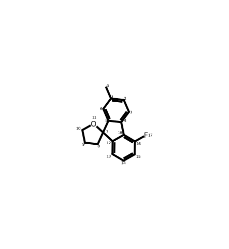 Cc1ccc2c(c1)C1(CCCO1)c1cccc(F)c1-2